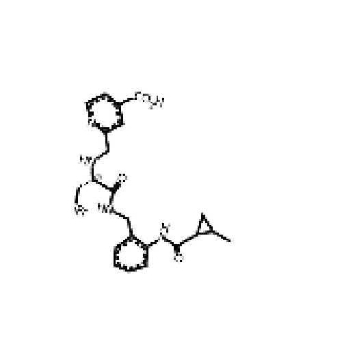 CC(C)C[C@H](NCc1cc(C(=O)O)ccn1)C(=O)NCc1ccccc1NC(=O)C1CC1C